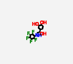 Oc1ccc(C(O)CNc2c(F)c(F)c(F)c(F)c2F)cc1O